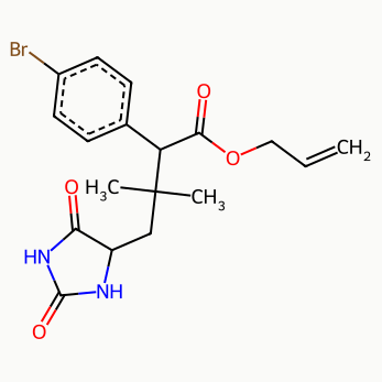 C=CCOC(=O)C(c1ccc(Br)cc1)C(C)(C)CC1NC(=O)NC1=O